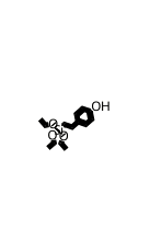 CCO[Si](CCc1ccc(O)cc1)(OCC)OCC